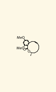 COc1cc2c(c(OC)c1)C(=O)O[C@H](C)CCCCC=CC2